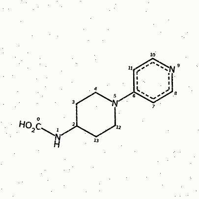 O=C(O)NC1CCN(c2ccncc2)CC1